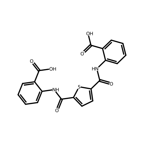 O=C(Nc1ccccc1C(=O)O)c1ccc(C(=O)Nc2ccccc2C(=O)O)s1